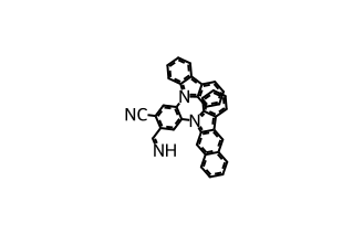 N#Cc1cc(-n2c3ccccc3c3ccccc32)c(-n2c3ccccc3c3cc4ccccc4cc32)cc1C=N